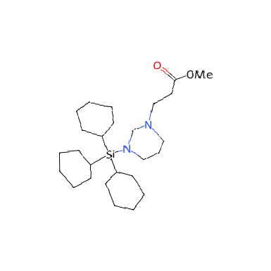 COC(=O)CCN1CCCN([Si](C2CCCCC2)(C2CCCCC2)C2CCCCC2)C1